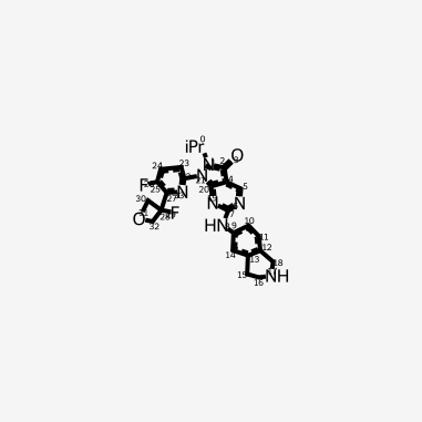 CC(C)n1c(=O)c2cnc(Nc3ccc4c(c3)CCNC4)nc2n1-c1ccc(F)c(C2(F)COC2)n1